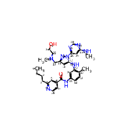 CCCCc1cc(C(=O)Nc2ccc(C)c(Nc3cc(CN(C)CCO)nn3-c3cc(NC)ncn3)c2)ccn1